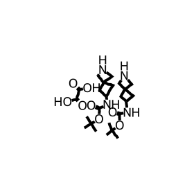 CC(C)(C)OC(=O)NC1CC2(CNC2)C1.CC(C)(C)OC(=O)NC1CC2(CNC2)C1.O=C(O)C(=O)O